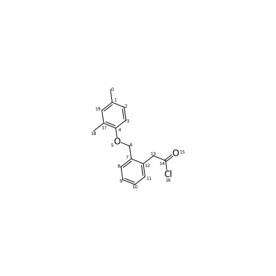 Cc1ccc(OCc2ccccc2CC(=O)Cl)c(C)c1